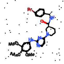 COc1cc(Nc2nccc(N3CCC[C@H](C(=O)N[C@@H](C)c4ccc(Br)cc4)C3)n2)cc(OC)c1OC